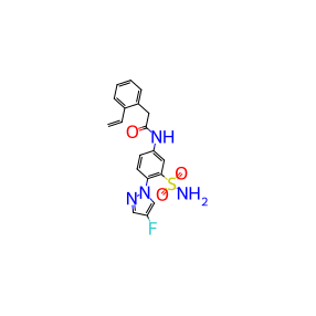 C=Cc1ccccc1CC(=O)Nc1ccc(-n2cc(F)cn2)c(S(N)(=O)=O)c1